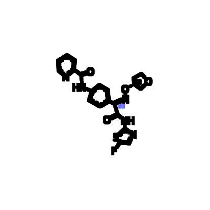 O=C(Nc1ncc(F)s1)/C(=N/O[C@@H]1CCOC1)c1ccc(NC(=O)c2ccccn2)cc1